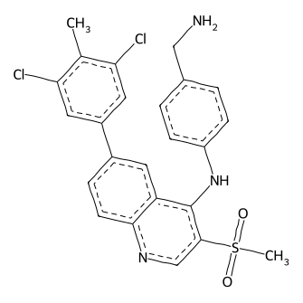 Cc1c(Cl)cc(-c2ccc3ncc(S(C)(=O)=O)c(Nc4ccc(CN)cc4)c3c2)cc1Cl